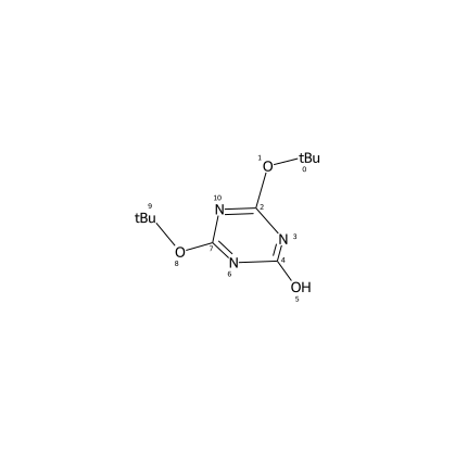 CC(C)(C)Oc1nc(O)nc(OC(C)(C)C)n1